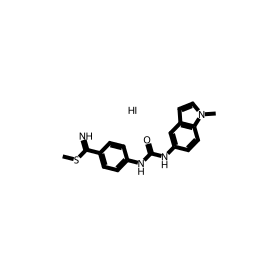 CSC(=N)c1ccc(NC(=O)Nc2ccc3c(ccn3C)c2)cc1.I